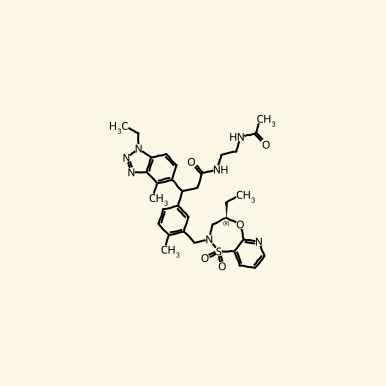 CC[C@@H]1CN(Cc2cc(C(CC(=O)NCCNC(C)=O)c3ccc4c(nnn4CC)c3C)ccc2C)S(=O)(=O)c2cccnc2O1